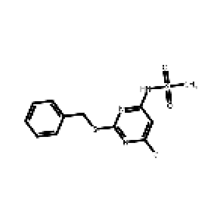 CS(=O)(=O)Nc1cc(Cl)nc(SCc2ccccc2)n1